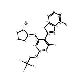 Cc1nc(NCC(F)(F)F)nc(N[C@H]2CCC[C@@H]2O)c1-c1nc2c(C)nccc2s1